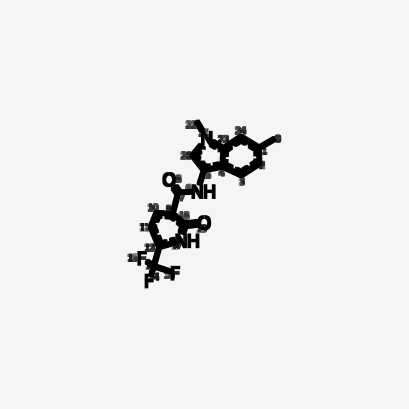 Cc1ccc2c(NC(=O)c3ccc(C(F)(F)F)[nH]c3=O)cn(C)c2c1